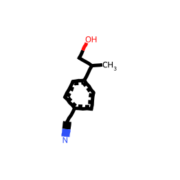 CC(CO)c1ccc(C#N)cc1